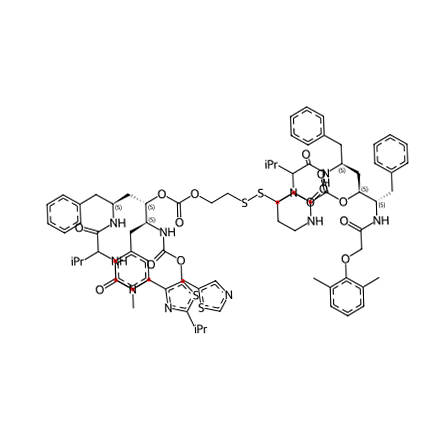 Cc1cccc(C)c1OCC(=O)N[C@@H](Cc1ccccc1)[C@H](C[C@H](Cc1ccccc1)NC(=O)C(C(C)C)N1CCCNC1=O)OC(=O)OCCSSCCOC(=O)O[C@@H](C[C@H](Cc1ccccc1)NC(=O)C(NC(=O)N(C)Cc1csc(C(C)C)n1)C(C)C)[C@H](Cc1ccccc1)NC(=O)OCc1cncs1